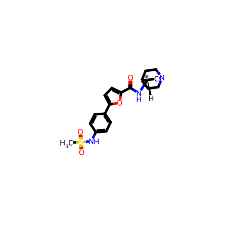 CS(=O)(=O)Nc1ccc(-c2ccc(C(=O)N[C@H]3CN4CCC3CC4)o2)cc1